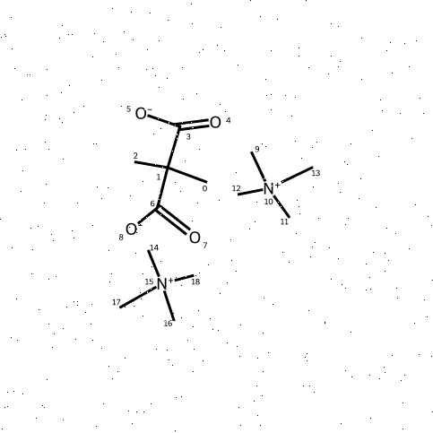 CC(C)(C(=O)[O-])C(=O)[O-].C[N+](C)(C)C.C[N+](C)(C)C